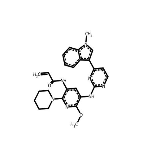 C=CC(=O)Nc1cc(Nc2nccc(-c3cn(C)c4ccccc34)n2)c(OC)nc1N1CCCCC1